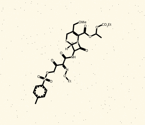 CCON=C(C(=O)COS(=O)(=O)c1ccc(C)cc1)C(=O)NC1C(=O)N2C(C(=O)OC(C)OC(=O)OCC)=C(COC)CS[C@@H]12